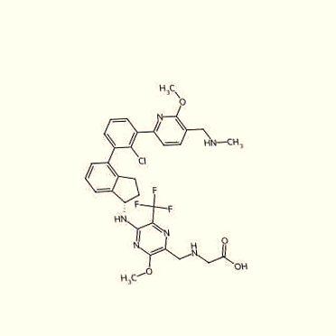 CNCc1ccc(-c2cccc(-c3cccc4c3CC[C@@H]4Nc3nc(OC)c(CNCC(=O)O)nc3C(F)(F)F)c2Cl)nc1OC